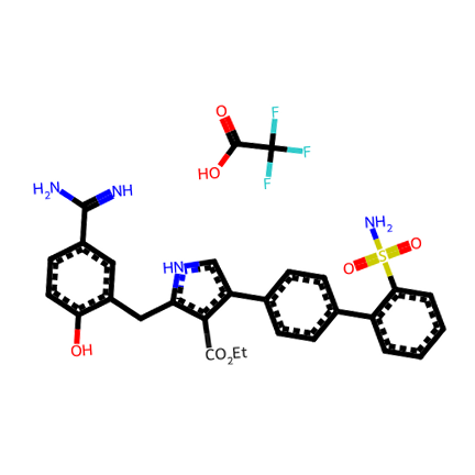 CCOC(=O)c1c(-c2ccc(-c3ccccc3S(N)(=O)=O)cc2)c[nH]c1Cc1cc(C(=N)N)ccc1O.O=C(O)C(F)(F)F